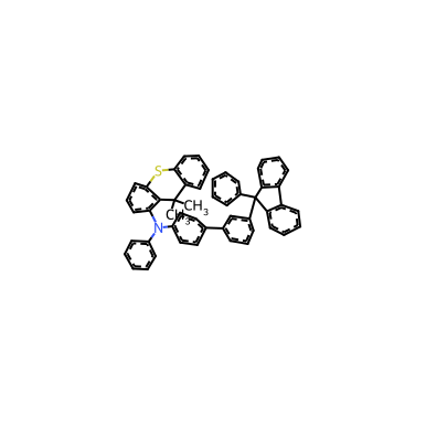 CC1(C)c2ccccc2Sc2cccc(N(c3ccccc3)c3ccc(-c4cccc(C5(c6ccccc6)c6ccccc6-c6ccccc65)c4)cc3)c21